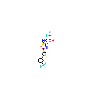 CC(O)(Cc1nsc(NC(=O)c2csc(-c3cccc(C(F)(F)F)c3)c2)n1)C(F)(F)F